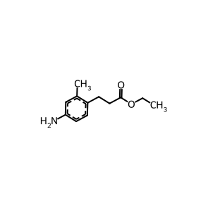 CCOC(=O)CCc1ccc(N)cc1C